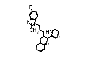 Cc1nc2cc(F)ccc2n1CCCC1CC2CCC=CC2=NC1C1=CN=CCN1